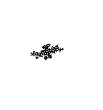 C=C(C)C(=O)OC1CCCC(N(CC(C)C)C(=O)C(CC(C)C)N2C(=O)c3cc(Oc4ccccc4)c4c5c(Oc6ccccc6)cc6c7c(cc(Oc8ccccc8)c(c8c(Oc9ccccc9)cc(c3c48)C2=O)c75)C(=O)N(C(CC(C)C)C(=O)N(CC(C)C)C2CCCC(OC(=O)C(=C)C)C2)C6=O)C1